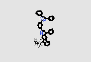 CC1(C)c2ccccc2-c2cc3c(-c4ccccc4)cc(C4C=C(c5nc(-c6ccccc6)cc(-c6ccccc6)n5)C=CC4)nc3cc21